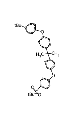 CC(C)(C)c1ccc(Oc2ccc(C(C)(C)c3ccc(Oc4ccc(S(=O)(=O)C(C)(C)C)cc4)cc3)cc2)cc1